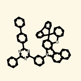 c1ccc(-c2ccc(-c3nc(-c4ccccc4)nc(-c4cccc(-n5c6ccc7c(c6c6c8ccccc8ccc65)Oc5ccccc5C75c6ccccc6-c6ccccc65)c4)n3)cc2)cc1